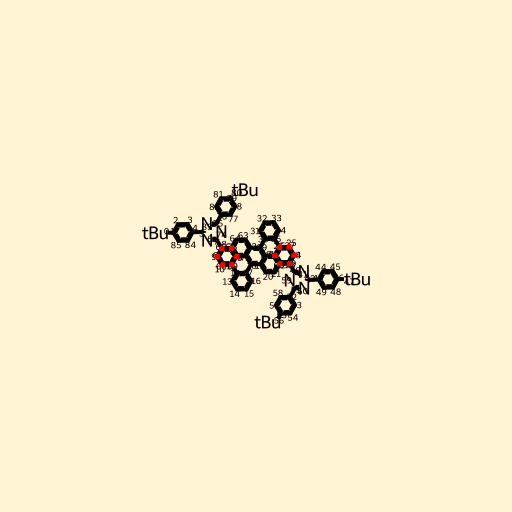 CC(C)(C)c1ccc(-c2nc(-c3ccc(-c4ccccc4-c4c5ccc6ccccc6c5c(-c5ccccc5-c5ccc(-c6nc(-c7ccc(C(C)(C)C)cc7)nc(-c7ccc(C(C)(C)C)cc7)n6)cc5)c5ccc6ccccc6c45)cc3)nc(-c3ccc(C(C)(C)C)cc3)n2)cc1